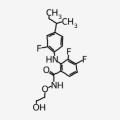 CCC(C)c1ccc(Nc2c(C(=O)NOCCO)ccc(F)c2F)c(F)c1